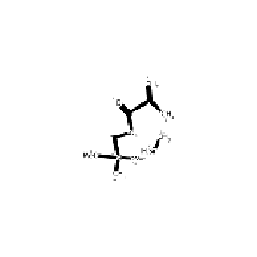 C=C(C)C(=O)OC[Si](C)(OC)OC.C[SiH3]